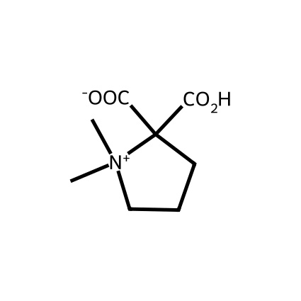 C[N+]1(C)CCCC1(C(=O)[O-])C(=O)O